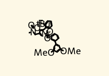 COc1cc(OC)cc(-c2cccc(S(=O)(=O)n3cc(CN(C)C(=O)OC(C)(C)C)cc3-c3ccccc3F)c2)c1